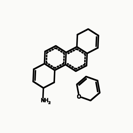 C1=CCOC=C1.NC1C=Cc2ccc3c4c(ccc3c2C1)C=CCC4